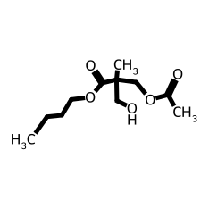 CCCCOC(=O)C(C)(CO)COC(C)=O